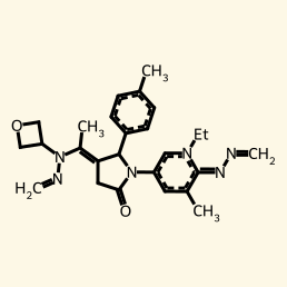 C=N/N=c1/c(C)cc(N2C(=O)C/C(=C(/C)N(N=C)C3COC3)C2c2ccc(C)cc2)cn1CC